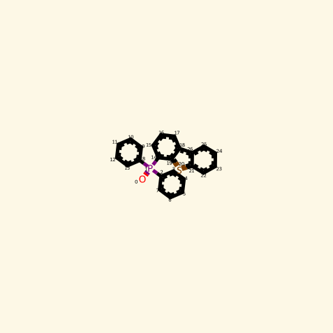 O=P(c1ccccc1)(c1ccccc1)c1cccc2c1sc1ccccc12